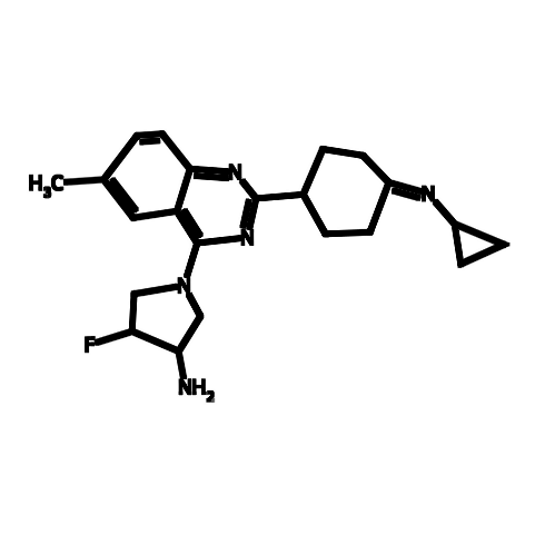 Cc1ccc2nc(C3CCC(=NC4CC4)CC3)nc(N3CC(N)C(F)C3)c2c1